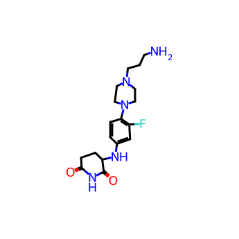 NCCCN1CCN(c2ccc(NC3CCC(=O)NC3=O)cc2F)CC1